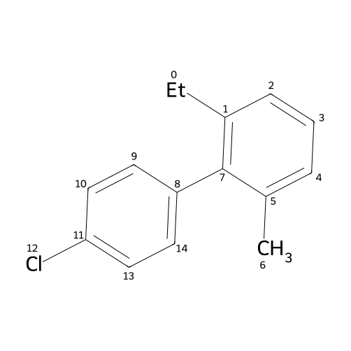 [CH2]Cc1cccc(C)c1-c1ccc(Cl)cc1